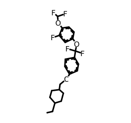 CCC1CCC(CCc2ccc(C(F)(F)Oc3ccc(OC(F)F)c(F)c3)cc2)CC1